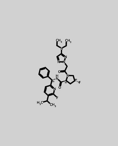 CCN(CC)c1cnn(CC(=O)N2C[C@H](F)C[C@H]2C(=O)N[C@@H](c2ccccc2)c2ccc(C(C)C)c(F)n2)n1